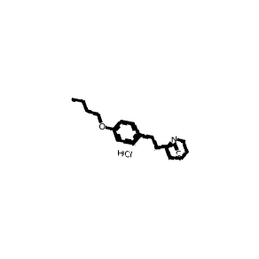 CCCCOc1ccc(CCC2CC3CCN2CC3)cc1.Cl